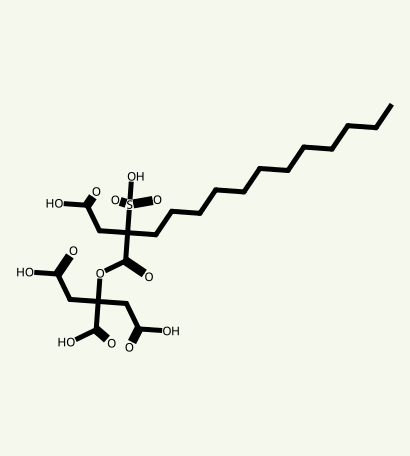 CCCCCCCCCCCCC(CC(=O)O)(C(=O)OC(CC(=O)O)(CC(=O)O)C(=O)O)S(=O)(=O)O